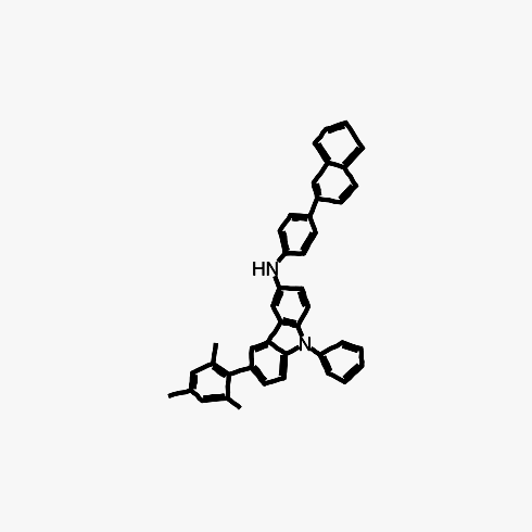 Cc1cc(C)c(-c2ccc3c(c2)c2cc(Nc4ccc(-c5ccc6ccccc6c5)cc4)ccc2n3-c2ccccc2)c(C)c1